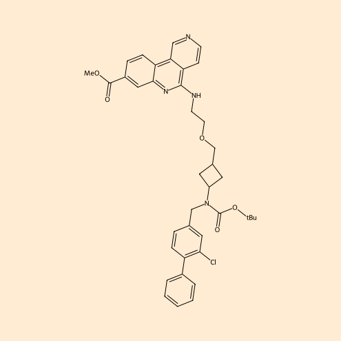 COC(=O)c1ccc2c(c1)nc(NCCOCC1CC(N(Cc3ccc(-c4ccccc4)c(Cl)c3)C(=O)OC(C)(C)C)C1)c1ccncc12